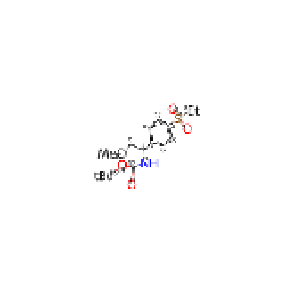 CCS(=O)(=O)c1ccc(C(COC)NC(=O)OC(C)(C)C)cc1